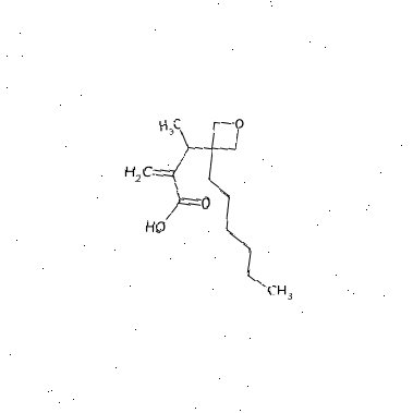 C=C(C(=O)O)C(C)C1(CCCCCC)COC1